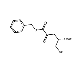 CO[C@H](CC(C)=O)CC(=O)C(=O)OCc1ccccc1